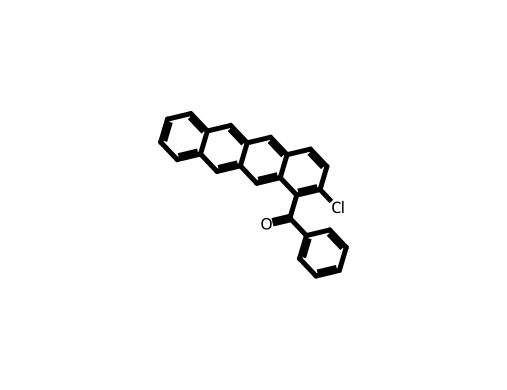 O=C(c1ccccc1)c1c(Cl)ccc2cc3cc4ccccc4cc3cc12